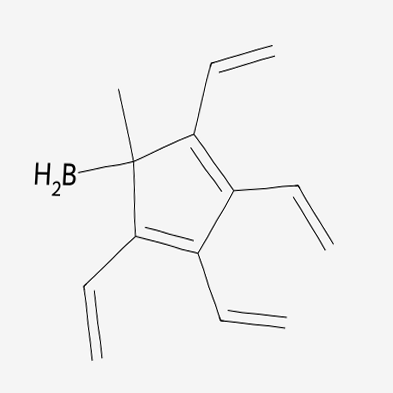 BC1(C)C(C=C)=C(C=C)C(C=C)=C1C=C